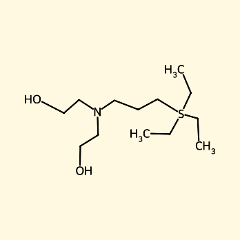 CCS(CC)(CC)CCCN(CCO)CCO